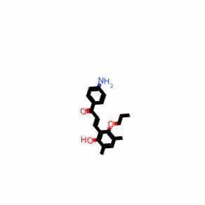 CCCOc1c(C)cc(C)c(O)c1C=CC(=O)c1ccc(N)cc1